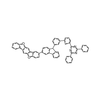 c1ccc(-c2nc(-c3ccccc3)nc(-c3cccc(-c4cccc(C5c6ccccc6-c6cc(-c7ccc8oc9cc%10c(cc9c8c7)oc7ccccc7%10)ccc65)c4)c3)n2)cc1